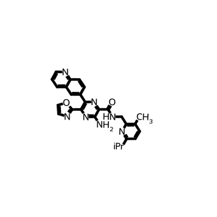 Cc1ccc(C(C)C)nc1CNC(=O)c1nc(-c2ccc3ncccc3c2)c(-c2ncco2)nc1N